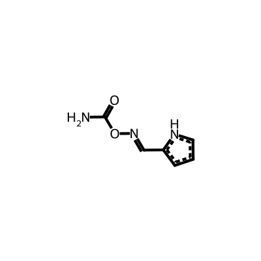 NC(=O)ON=Cc1ccc[nH]1